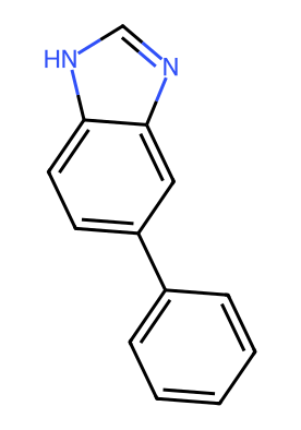 c1ccc(-c2ccc3[nH]cnc3c2)cc1